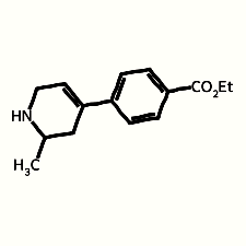 CCOC(=O)c1ccc(C2=CCNC(C)C2)cc1